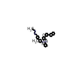 C=C/C=C\C=C/Cc1ccc(C2(C)C=CC(/C(N)=N/C(=N\Cc3cccc4oc5ccc(-c6ccc7ccccc7c6)cc5c34)c3ccccc3)=CC2)cc1